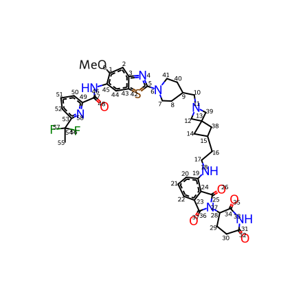 COc1cc2nc(N3CCC(CN4CC5(CC(CCNc6cccc7c6C(=O)N(C6CCC(=O)NC6=O)C7=O)C5)C4)CC3)sc2cc1NC(=O)c1cccc(C(C)(F)F)n1